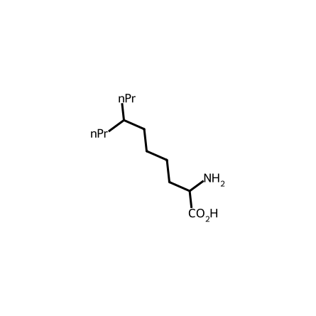 CCCC(CCC)CCCCC(N)C(=O)O